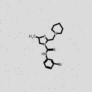 CC1CN(C(=S)Nc2cccc(Br)c2)C(CN2CCCCC2)S1